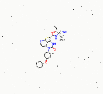 C=CC(=O)[C@]1(NC(=O)c2sc3nccc4c3c2NC(=O)N4c2ccc(Oc3ccccc3)cc2C)CNC[C@@H]1OC